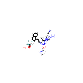 CN1CCC[C@H]1COc1nc2c(c(N3CCN[C@@H](CC#N)C3)n1)CCC(c1cccc3ccccc13)=C2.O=C(O)C(F)(F)F